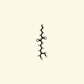 CCCCCC(=O)C(=O)CCCCC(CC)CC